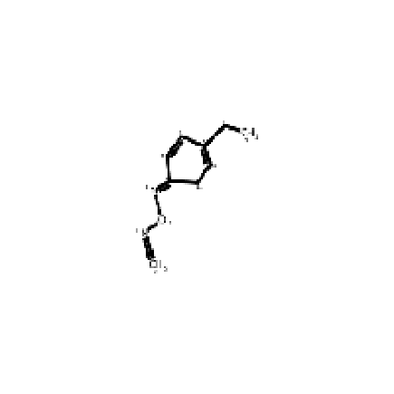 C=NO/N=C1/C=CC(CC)=CC1